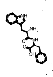 N[C@@H](Cc1c[nH]c2ccccc12)C(=O)N[C@@H](Cc1ccccc1)C(=O)O